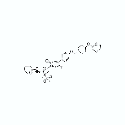 C[C@@](CCn1cc(F)c(-c2ccc(OC[C@H]3CC[C@H](OC4CCCCO4)CC3)cc2)cc1=O)(C(=O)NOC1CCCCO1)S(C)(=O)=O